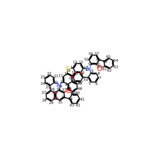 c1ccc(-c2ccccc2N(c2ccc3sc4cc(N(c5ccccc5-c5ccccc5)c5cccc6c5oc5ccccc56)c5ccccc5c4c3c2)c2cccc3c2oc2ccccc23)cc1